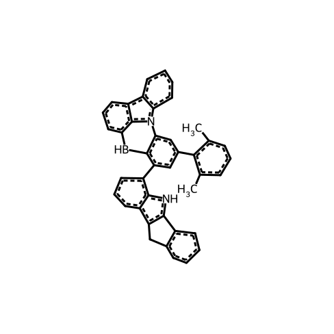 Cc1cccc(C)c1-c1cc(-c2cccc3c4c([nH]c23)-c2ccccc2C4)c2c(c1)-n1c3ccccc3c3cccc(c31)B2